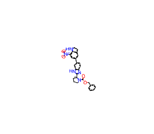 O=C(OCc1ccccc1)N1CCC[C@H]1c1nc2ccc(-c3cc([N+](=O)[O-])c4[nH]ccc4c3)cc2[nH]1